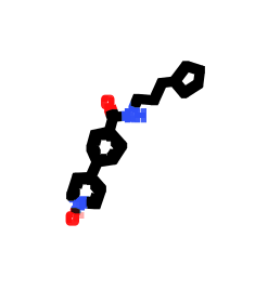 O=C(NCCCC1CCCC1)c1ccc(-c2cc[n+]([O-])cc2)cc1